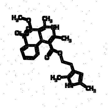 COC(=O)C1=C(C)NC(C)=C(C(=O)OCCc2cc(C)[nH]c2C)C1c1ccccc1[N+](=O)[O-]